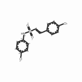 O=S(=O)(C=Cc1ccc(Cl)cc1)Nc1ccc(Cl)cc1